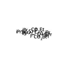 CCOC(=O)c1c(F)c(-c2cc3sc(S(C(C)C)(C(C)C)C(C)C)cc3s2)c(C(=O)OCC)c(F)c1-c1cc2sc(S(C(C)C)(C(C)C)C(C)C)cc2s1